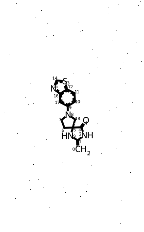 C=C1NC(=O)C2(CCN(c3ccc4scnc4c3)C2)N1